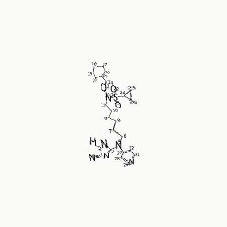 N#CN=C(N)N(CCCCCCN(OCC1CCCCC1)S(=O)(=O)C1CC1)c1ccncc1